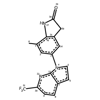 Cc1cc(-n2ccc3ccc(C(F)(F)F)nc32)cc2c1NC(=O)C2